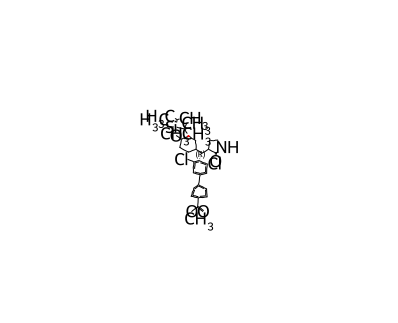 COC(=O)c1ccc(-c2cc(Cl)c([C@H](C3CCC(O[Si](C(C)C)(C(C)C)C(C)C)CC3)C3CCNC3=O)c(Cl)c2)cc1